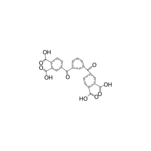 O=C(c1cccc(C(=O)c2ccc(C(=O)O)c(C(=O)O)c2)c1)c1ccc(C(=O)O)c(C(=O)O)c1